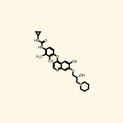 Cc1c(NC(=O)NC2CC2)ccc(Oc2ccnc3cc(OC[C@H](O)CN4CCCCC4)c(C#N)cc23)c1C